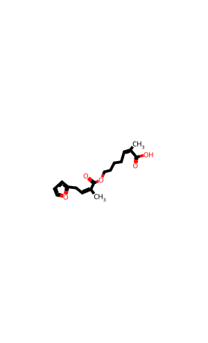 CC(=CCCCCOC(=O)C(C)=CCc1ccco1)C(=O)O